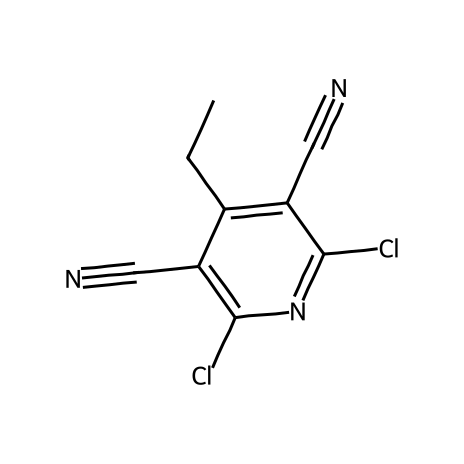 CCc1c(C#N)c(Cl)nc(Cl)c1C#N